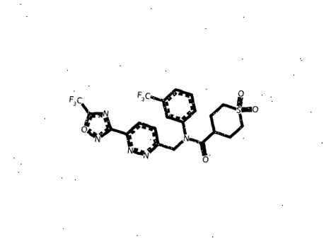 O=C(C1CCS(=O)(=O)CC1)N(Cc1ccc(-c2noc(C(F)(F)F)n2)nn1)c1cccc(C(F)(F)F)c1